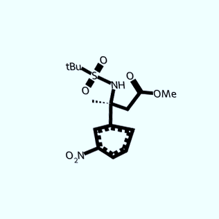 COC(=O)C[C@](C)(NS(=O)(=O)C(C)(C)C)c1cccc([N+](=O)[O-])c1